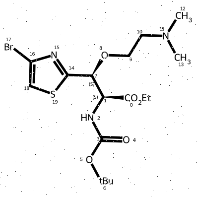 CCOC(=O)[C@@H](NC(=O)OC(C)(C)C)[C@H](OCCN(C)C)c1nc(Br)cs1